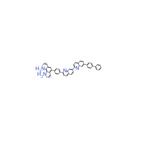 C/C=C\c1cc(-c2ccc(-c3ccc4ccc(-c5ccc6ccc(-c7ccc(-c8ccccc8)cc7)cc6n5)cc4n3)cc2)c(/C=C\C)c(N)c1N